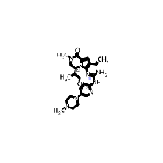 C=Cc1cc2n(c1/N=C(\N)Nc1ccc(N3CCN(C)CC3)cn1)[C@@H](C(C)CC)CN(C)C2=O